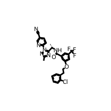 Cc1nc([C@H](C)NC(=O)c2cc(OCCc3ccccc3Cl)cc(C(F)(F)F)c2)n(-c2ccc(C#N)cn2)n1